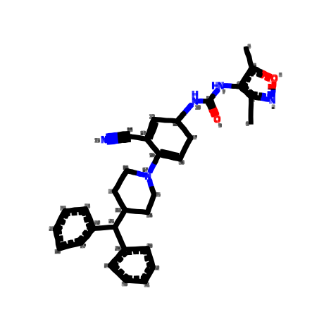 Cc1noc(C)c1NC(=O)NC1C=C(C#N)C(N2CCC(C(c3ccccc3)c3ccccc3)CC2)=CC1